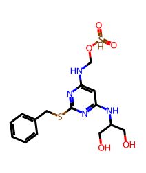 O=[SH](=O)OCNc1cc(NC(CO)CO)nc(SCc2ccccc2)n1